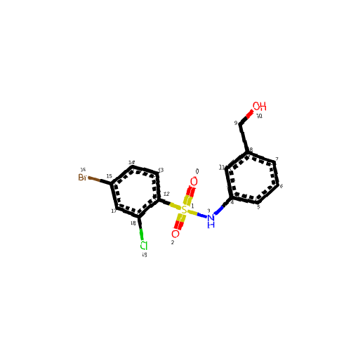 O=S(=O)(Nc1cccc(CO)c1)c1ccc(Br)cc1Cl